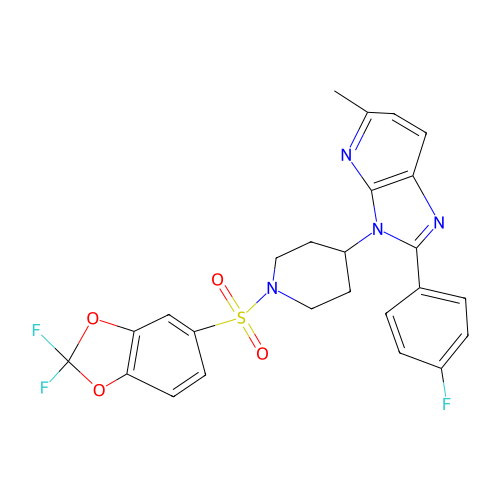 Cc1ccc2nc(-c3ccc(F)cc3)n(C3CCN(S(=O)(=O)c4ccc5c(c4)OC(F)(F)O5)CC3)c2n1